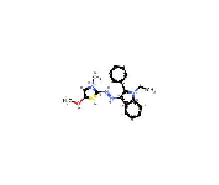 CCn1c(-c2ccccc2)c(N=Nc2sc(OC)c[n+]2C)c2ccccc21